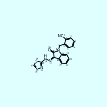 N#Cc1ccccc1CN1C(=O)C(=NNc2nncs2)c2ccccc21